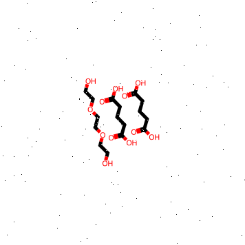 O=C(O)CCCC(=O)O.O=C(O)CCCC(=O)O.OCCOCCOCCO